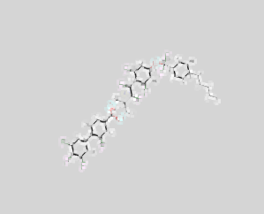 CCCCCc1ccc(C(F)(F)Oc2cc(F)c(/C(F)=C(\F)C3COC(c4ccc(-c5cc(F)c(F)c(F)c5)c(F)c4)OC3)c(F)c2)cc1